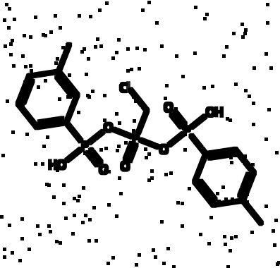 Cc1ccc(P(=O)(O)OP(=O)(CCl)OP(=O)(O)c2cccc(C)c2)cc1